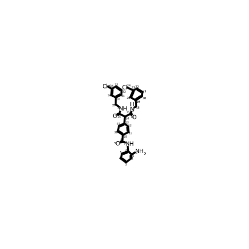 Nc1ccccc1NC(=O)c1ccc(C(C(=O)NCc2cccc(Cl)c2)C(=O)NCc2cccc(Cl)c2)cc1